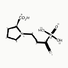 O=C(O)[C@@H]1CCCN1CCC(=O)P(=O)(O)O